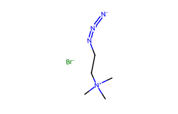 C[N+](C)(C)CCN=[N+]=[N-].[Br-]